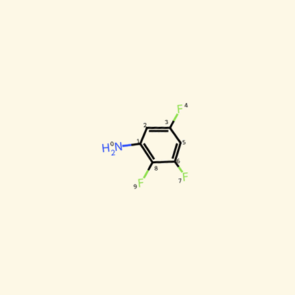 Nc1cc(F)cc(F)c1F